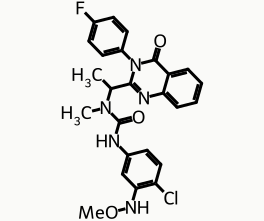 CONc1cc(NC(=O)N(C)C(C)c2nc3ccccc3c(=O)n2-c2ccc(F)cc2)ccc1Cl